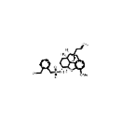 C=CCN1CC[C@]23c4c5ccc(OC)c4O[C@H]2[C@H](NS(=O)(=O)Cc2ccccc2CC(C)C)CC[C@@]3(O)[C@H]1C5